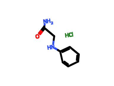 Cl.NC(=O)CNc1ccccc1